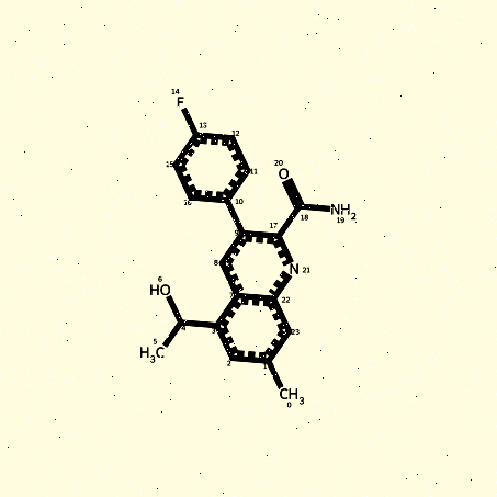 Cc1cc(C(C)O)c2cc(-c3ccc(F)cc3)c(C(N)=O)nc2c1